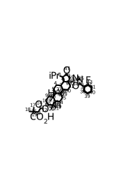 CC(C)C1=C2C3CC[C@@H]4[C@@]5(C)CC[C@H](OC(=O)CC(C)(C)C(=O)O)C(C)(C)[C@@H]5CC[C@@]4(C)[C@]3(C)CC[C@@]2(c2nnc(-c3ccccc3F)o2)CC1=O